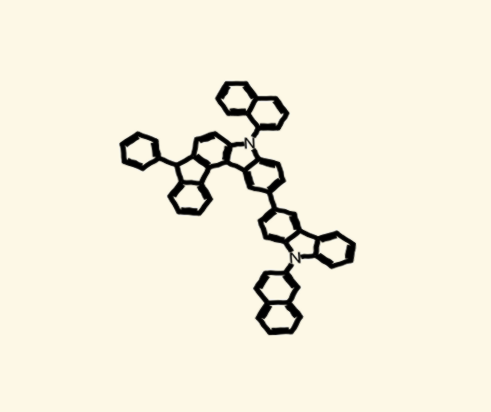 c1ccc(C2c3ccccc3-c3c2ccc2c3c3cc(-c4ccc5c(c4)c4ccccc4n5-c4ccc5ccccc5c4)ccc3n2-c2cccc3ccccc23)cc1